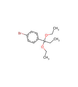 CCO[Si](CC)(OCC)c1ccc(Br)cc1